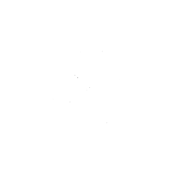 CCN(CC)C(=O)[S+]([O-])Cl